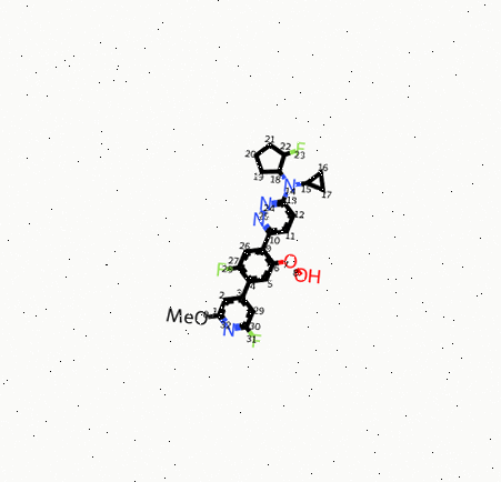 COc1cc(-c2cc(OO)c(-c3ccc(N(C4CC4)C4CCCC4F)nn3)cc2F)cc(F)n1